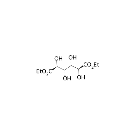 CCOC(=O)[C@@H](O)[C@@H](O)[C@H](O)[C@H](O)C(=O)OCC